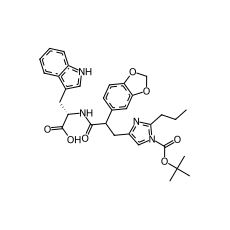 CCCc1nc(CC(C(=O)N[C@@H](Cc2c[nH]c3ccccc23)C(=O)O)c2ccc3c(c2)OCO3)cn1C(=O)OC(C)(C)C